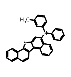 Cc1cccc(N(c2ccccc2)c2cc3sc4c5ccccc5ccc4c3c3ccccc23)c1